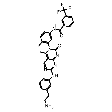 Cc1ccc(NC(=O)c2cccc(C(F)(F)F)c2)cc1-n1c(C)c2cnc(Nc3cccc(CCN)c3)nc2nc1=O